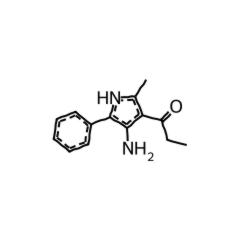 CCC(=O)c1c(C)[nH]c(-c2ccccc2)c1N